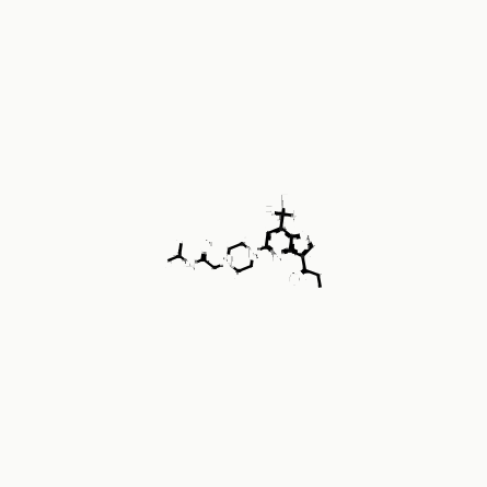 CCC(=O)c1csc2c(C(F)(F)F)cc(N3CCN(CC(=O)NC(C)C)CC3)nc12